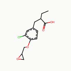 CCC(Cc1ccc(OCC2CO2)c(Cl)c1)C(=O)O